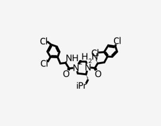 CC(C)C[C@@H]1CN(C(=O)[C@H](N)Cc2ccc(Cl)cc2Cl)CCN1C(=O)[C@H](N)Cc1ccc(Cl)cc1Cl